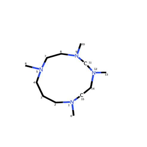 CN1CCCN(C)CCN(C)CN(C)CC1